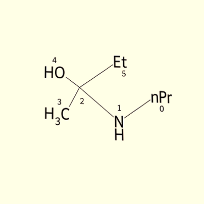 CCCNC(C)(O)CC